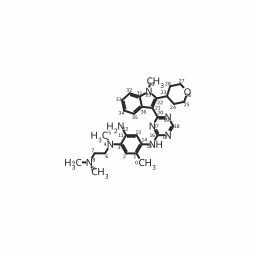 Cc1cc(N(C)CCN(C)C)c(N)cc1Nc1ncnc(-c2c(C3CCOCC3)n(C)c3ccccc23)n1